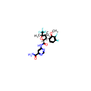 COc1c([C@@H]2[C@@H](C(=O)Nc3cc(C(N)=O)ncn3)O[C@](C)(C(F)(F)F)[C@@H]2C)ccc(F)c1F